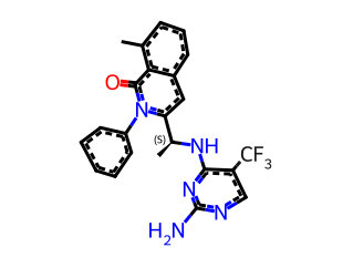 Cc1cccc2cc([C@H](C)Nc3nc(N)ncc3C(F)(F)F)n(-c3ccccc3)c(=O)c12